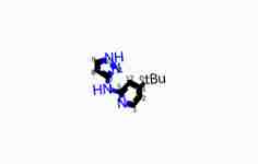 CC(C)(C)c1ccnc(Nc2cc[nH]n2)c1